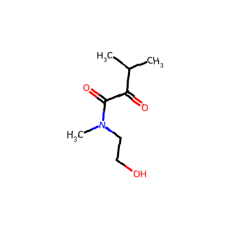 CC(C)C(=O)C(=O)N(C)CCO